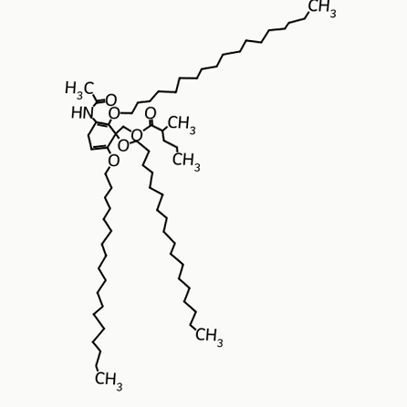 CCCCCCCCCCCCCCCCCCOC1=CCC(NC(C)=O)=C(OCCCCCCCCCCCCCCCCCC)C1(COC(=O)C(C)CCC)OCCCCCCCCCCCCCCCCCC